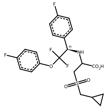 O=C(O)C(CS(=O)(=O)CC1CC1)N[C@H](c1ccc(F)cc1)C(F)(F)Oc1ccc(F)cc1